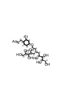 CCc1cc(OCCN(C[C@H](O)[C@@H](O)[C@H](O)CO)C[C@H](O)[C@@H](O)[C@H](O)CO)ccc1CSC(C)=O